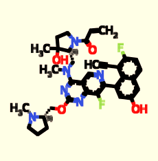 C#Cc1c(F)ccc2cc(O)cc(-c3ncc4c(N(C)C[C@H]5N(C(=O)C=C)CCC5(C)O)nc(OC[C@@H]5CCCN5C)nc4c3F)c12